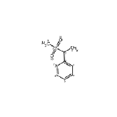 C[C](c1ccccn1)S(C)(=O)=O